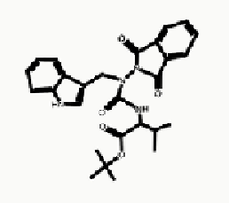 CC(C)C(NC(=O)N(Cc1c[nH]c2ccccc12)N1C(=O)c2ccccc2C1=O)C(=O)OC(C)(C)C